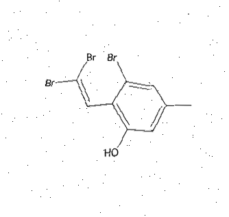 Cc1cc(O)c(C=C(Br)Br)c(Br)c1